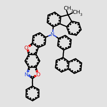 CC1(C)c2ccccc2-c2c(N(c3cccc(-c4cccc5ccccc45)c3)c3ccc4oc5cc6nc(-c7ccccc7)oc6cc5c4c3)cccc21